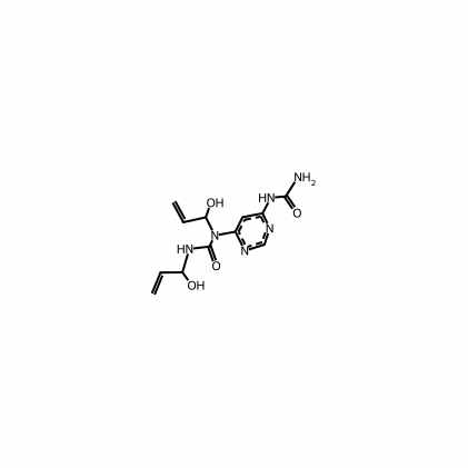 C=CC(O)NC(=O)N(c1cc(NC(N)=O)ncn1)C(O)C=C